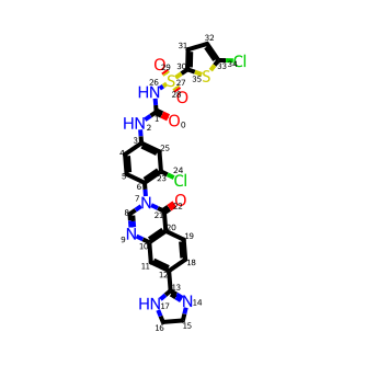 O=C(Nc1ccc(-n2cnc3cc(C4=NCCN4)ccc3c2=O)c(Cl)c1)NS(=O)(=O)c1ccc(Cl)s1